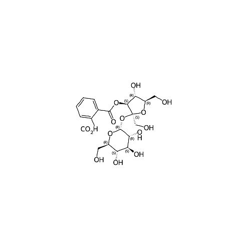 O=C(O)c1ccccc1C(=O)O[C@H]1[C@H](O)[C@@H](CO)O[C@@]1(CO)O[C@H]1O[C@H](CO)[C@@H](O)[C@H](O)[C@H]1O